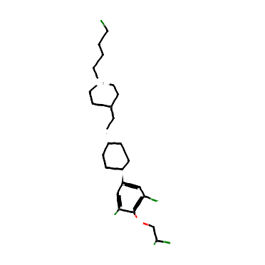 FCCCC[SiH]1CCC(CC[C@H]2CC[C@H](c3cc(F)c(OCC(F)F)c(F)c3)CC2)CC1